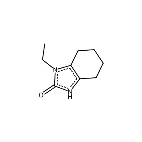 CCn1c2c([nH]c1=O)CCCC2